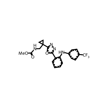 COC(=O)NCC1(c2nnc(-c3ccccc3Nc3ccc(C(F)(F)F)cc3)o2)CC1